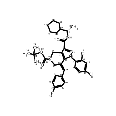 C[C@H](NC(=O)c1nn(-c2ccc(Cl)cc2Cl)c2c1CN(C(=O)OC(C)(C)C)CC2=Cc1ccc(F)cc1)C1CCCCC1